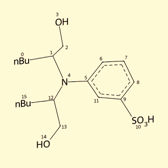 CCCCC(CO)N(c1cccc(S(=O)(=O)O)c1)C(CO)CCCC